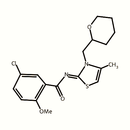 COc1ccc(Cl)cc1C(=O)/N=c1\scc(C)n1CC1CCCCO1